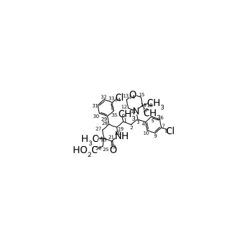 CC(CC(c1ccc(Cl)cc1)N1CCOCC1(C)C)C1NC(=O)C(C)(CC(=O)O)CC1c1cccc(Cl)c1